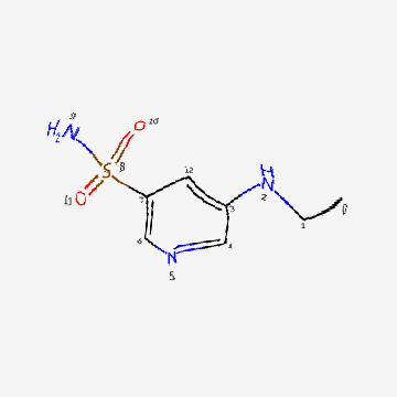 CCNc1cncc(S(N)(=O)=O)c1